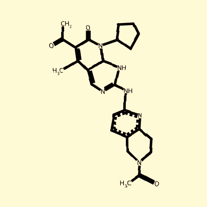 CC(=O)C1=C(C)C2=CN=C(Nc3ccc4c(n3)CCN(C(C)=O)C4)NC2N(C2CCCC2)C1=O